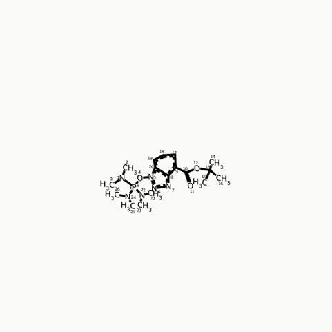 CN(C)[P+](On1nnc2c(C(=O)OC(C)(C)C)cccc21)(N(C)C)N(C)C